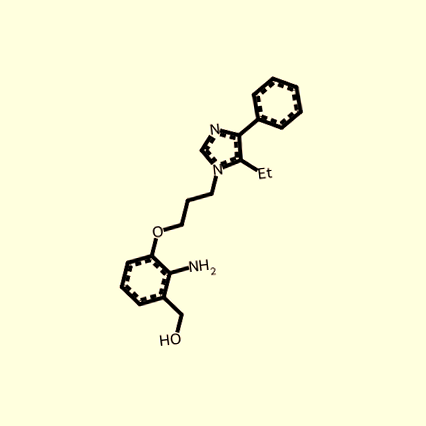 CCc1c(-c2ccccc2)ncn1CCCOc1cccc(CO)c1N